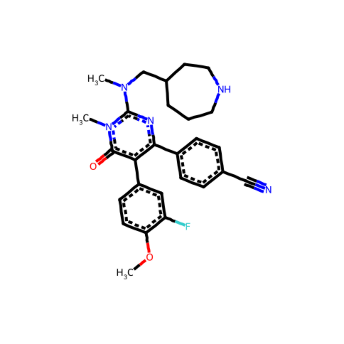 COc1ccc(-c2c(-c3ccc(C#N)cc3)nc(N(C)CC3CCCNCC3)n(C)c2=O)cc1F